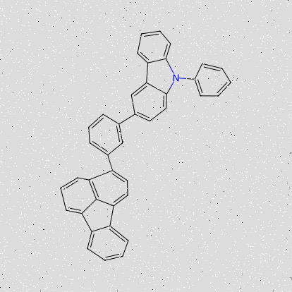 c1ccc(-n2c3ccccc3c3cc(-c4cccc(-c5ccc6c7c(cccc57)-c5ccccc5-6)c4)ccc32)cc1